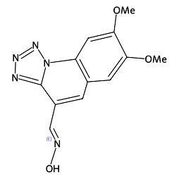 COc1cc2cc(/C=N/O)c3nnnn3c2cc1OC